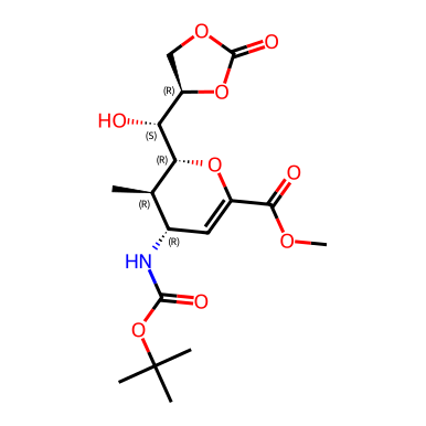 COC(=O)C1=C[C@H](NC(=O)OC(C)(C)C)[C@@H](C)[C@H]([C@H](O)[C@H]2COC(=O)O2)O1